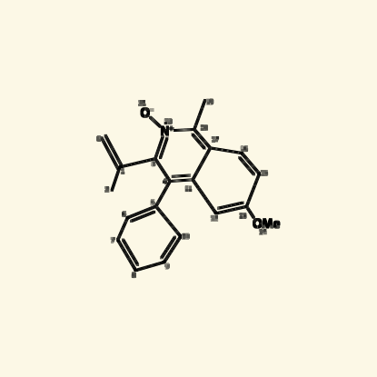 C=C(C)c1c(-c2ccccc2)c2cc(OC)ccc2c(C)[n+]1[O-]